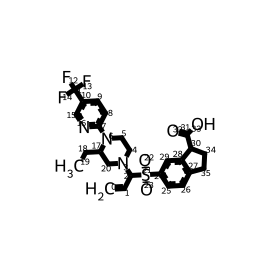 C=CC(N1CCN(c2ccc(C(F)(F)F)cn2)C(CC)C1)S(=O)(=O)c1ccc2c(c1)C(C(=O)O)CC2